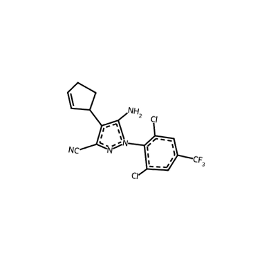 N#Cc1nn(-c2c(Cl)cc(C(F)(F)F)cc2Cl)c(N)c1C1C=CCC1